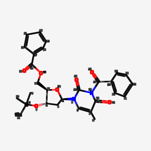 Cc1cn([C@H]2C[C@H](O[Si](C)(C)C(C)(C)C)[C@@H](COC(=O)c3ccccc3)O2)c(=O)n(C(=O)c2ccccc2)c1=O